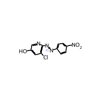 O=[N+]([O-])c1ccc(/N=N/c2ncc(O)cc2Cl)cc1